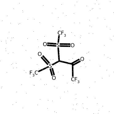 O=C(C(S(=O)(=O)C(F)(F)F)S(=O)(=O)C(F)(F)F)C(F)(F)F